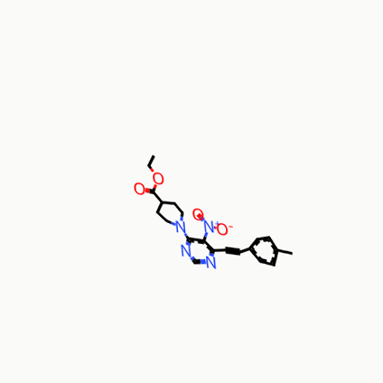 CCOC(=O)C1CCN(c2ncnc(C#Cc3ccc(C)cc3)c2[N+](=O)[O-])CC1